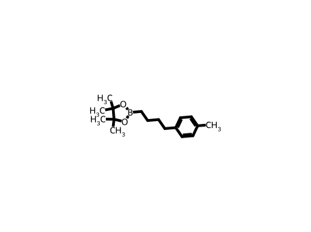 Cc1ccc(CCCCB2OC(C)(C)C(C)(C)O2)cc1